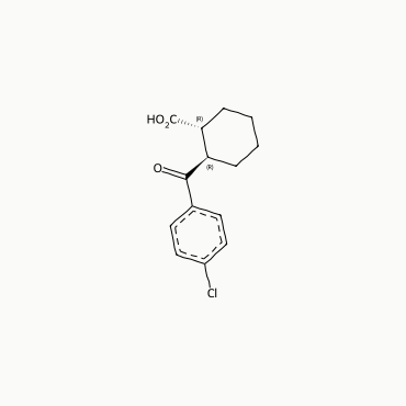 O=C(O)[C@@H]1CCCC[C@H]1C(=O)c1ccc(Cl)cc1